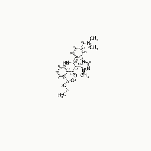 CCOC(=O)c1cccc2c1C(=O)C(c1ncnn1C)C(c1ccc(CN(C)C)cc1)N2